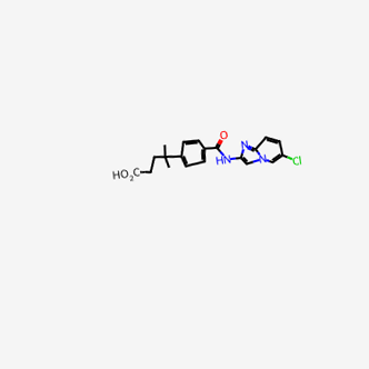 CC(C)(CCC(=O)O)c1ccc(C(=O)Nc2cn3cc(Cl)ccc3n2)cc1